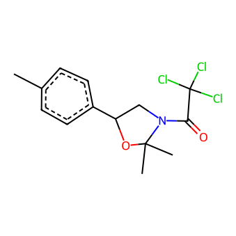 Cc1ccc(C2CN(C(=O)C(Cl)(Cl)Cl)C(C)(C)O2)cc1